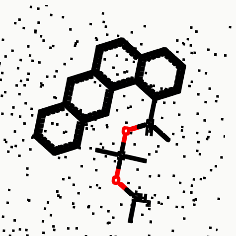 C[SiH2]O[Si](C)(C)O[SiH](C)c1cccc2ccc3cc4ccccc4cc3c12